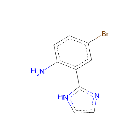 Nc1ccc(Br)cc1-c1ncc[nH]1